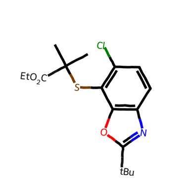 CCOC(=O)C(C)(C)Sc1c(Cl)ccc2nc(C(C)(C)C)oc12